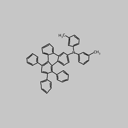 Cc1cccc(N(c2cccc(C)c2)c2ccc3c(c2)c2ccccc2c2c(-c4ccccc4)cc(-c4ccccc4)c(-c4ccccc4)c32)c1